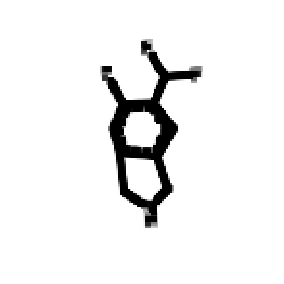 Fc1cc2c(cc1C(F)F)CNC2